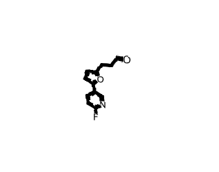 O=CCCc1ccc(-c2ccc(F)nc2)o1